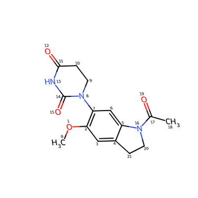 COc1cc2c(cc1N1CCC(=O)NC1=O)N(C(C)=O)CC2